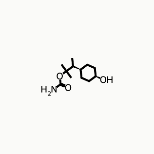 CC([C@H]1CC[C@@H](O)CC1)C(C)(C)OC(N)=O